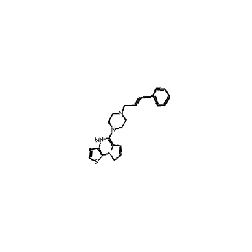 C(=Cc1ccccc1)CN1CCN(C2=C3C=CCN3c3sccc3N2)CC1